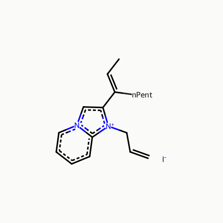 C=CC[n+]1c(C(=CC)CCCCC)cn2ccccc21.[I-]